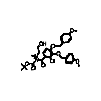 COc1ccc(COc2ccc(C(=O)N(C(=O)OC(C)(C)C)N(C)CCO)c(Cl)c2OCc2ccc(OC)cc2)cc1